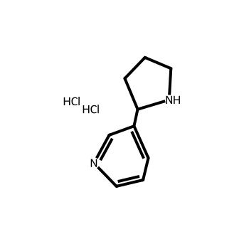 Cl.Cl.c1cncc(C2CCCN2)c1